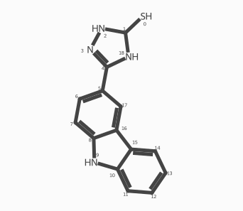 SC1NN=C(c2ccc3[nH]c4ccccc4c3c2)N1